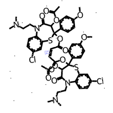 COc1ccc(C2(OC(=O)/C=C\C(=O)OC3(c4ccc(OC)cc4)Sc4cc(Cl)ccc4N(CCN(C)C)C(=O)C3OC(C)=O)Sc3cc(Cl)ccc3N(CCN(C)C)C(=O)C2OC(C)=O)cc1